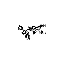 Cc1ccc(N2CCC[C@H](N(Cc3ccnc(C)c3)Cc3cn(C4CC4)c4cc(C5C[C@@H](O)CN5C(=O)OC(C)(C)C)ccc4c3=O)C2)cn1